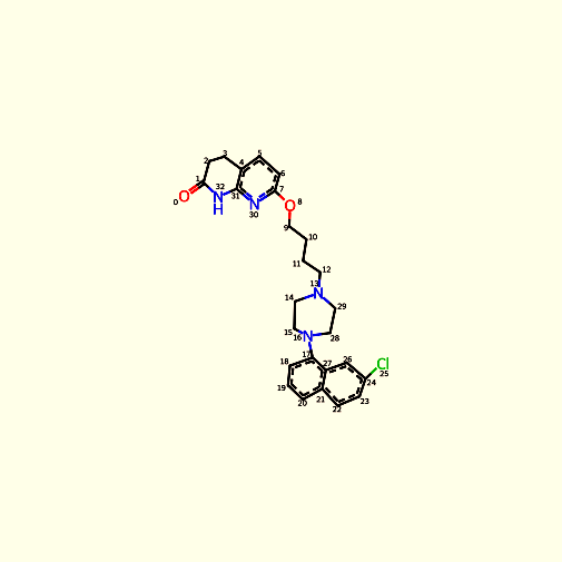 O=C1CCc2ccc(OCCCCN3CCN(c4cccc5ccc(Cl)cc45)CC3)nc2N1